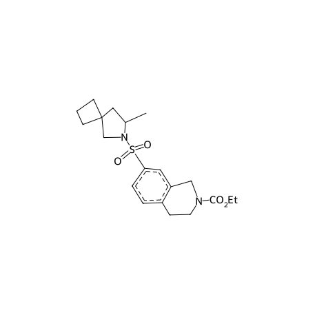 CCOC(=O)N1CCc2ccc(S(=O)(=O)N3CC4(CCC4)CC3C)cc2C1